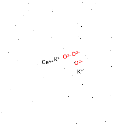 [Ge+4].[K+].[K+].[O-2].[O-2].[O-2]